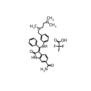 CN(C)CCN(C)Cc1cccc(NC(=C2C(=O)Nc3cc(C(N)=O)ccc32)c2ccccc2)c1.O=C(O)C(F)(F)F